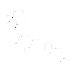 CC1(C)CNCC[C@H]1Oc1cncc(Nc2cc(OC(F)F)[nH]n2)n1